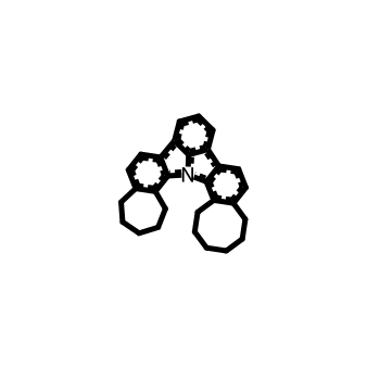 c1cc2c3ccc4c(c3n3c5c6c(ccc5c(c1)c23)CCCCC6)CCCCCC4